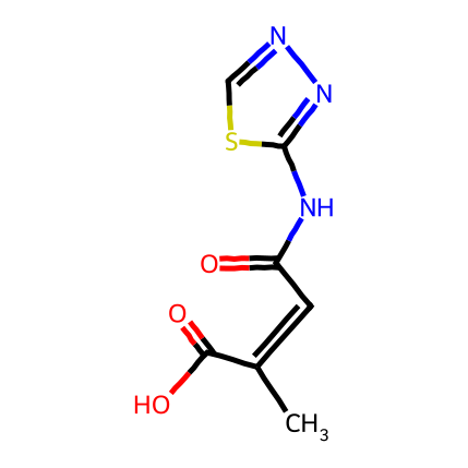 CC(=CC(=O)Nc1nncs1)C(=O)O